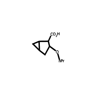 CCCOC1CC2CC2C1C(=O)O